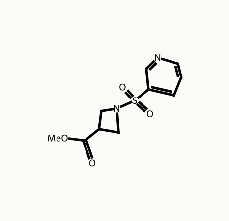 COC(=O)C1CN(S(=O)(=O)c2cccnc2)C1